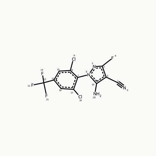 N#Cc1c(F)nn(-c2c(Cl)cc(C(F)(F)F)cc2Cl)c1N